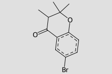 CC1C(=O)c2cc(Br)ccc2OC1(C)C